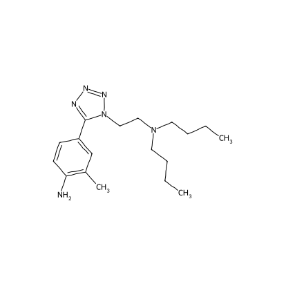 CCCCN(CCCC)CCn1nnnc1-c1ccc(N)c(C)c1